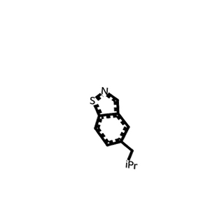 CC(C)Cc1ccc2sncc2c1